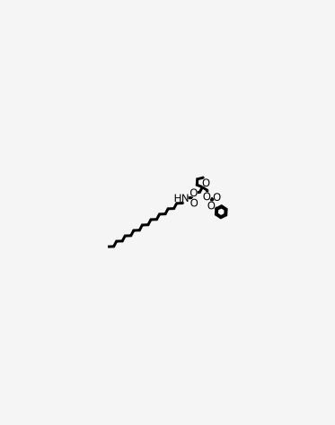 CCCCCCCCCCCCCCCCCCNC(=O)OCC1(COC(=O)Oc2ccccc2)CCCO1